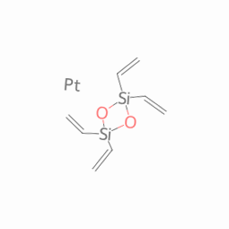 C=C[Si]1(C=C)O[Si](C=C)(C=C)O1.[Pt]